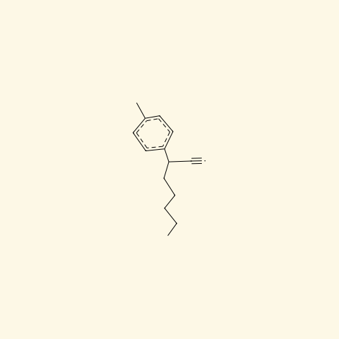 [C]#CC(CCCCC)c1ccc(C)cc1